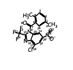 Cc1ccc(C)c(C(=O)n2c(C(F)(F)F)nc3c(Cl)cc([N+](=O)[O-])cc32)c1